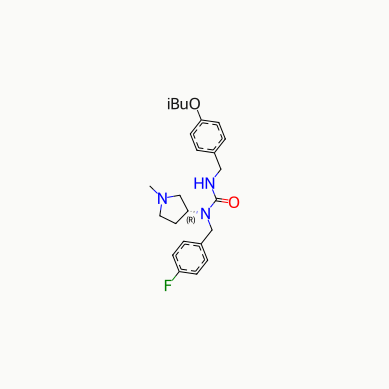 CC(C)COc1ccc(CNC(=O)N(Cc2ccc(F)cc2)[C@@H]2CCN(C)C2)cc1